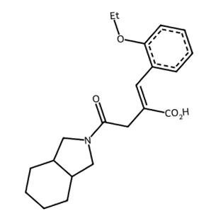 CCOc1ccccc1C=C(CC(=O)N1CC2CCCCC2C1)C(=O)O